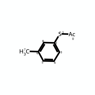 CC(=O)Sc1cccc(C)c1